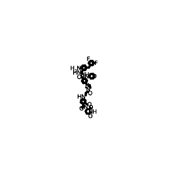 N=C(NC(=O)c1ccc(N2CCN(C(=O)CCNc3ccc4c(c3)C(=O)N(C3CCC(=O)NC3=O)C4=O)C2)cc1NC1CCOCC1)c1cc(Cc2cc(F)cc(F)c2)ccc1N